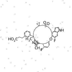 Cn1nc2nc1C1CC(=CC=C1F)Oc1c(F)cc3[nH]ccc3c1CCS(=O)(=O)CC1(CCCC2(C)c2cccc(CCC(=O)O)c2)CC1